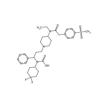 CCN(C(=O)Cc1ccc(S(C)(=O)=O)cc1)C1CCN(CCC(c2ccccc2)N(C(=O)O)C2CCC(F)(F)CC2)CC1